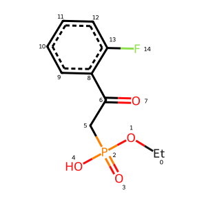 CCOP(=O)(O)CC(=O)c1ccccc1F